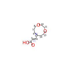 O=C(O)/C=C/C1=C/CCOCCOCC1